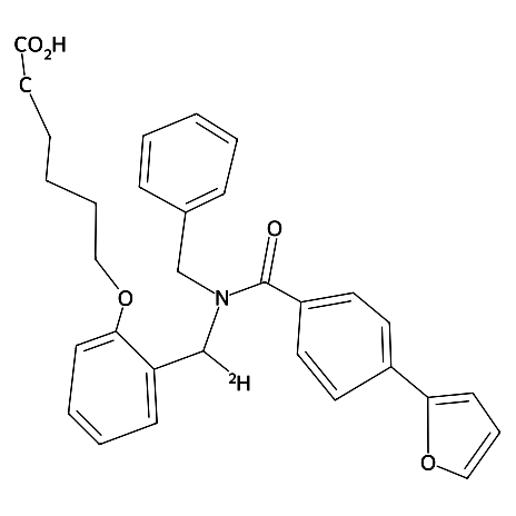 [2H]C(c1ccccc1OCCCCCC(=O)O)N(Cc1ccccc1)C(=O)c1ccc(-c2ccco2)cc1